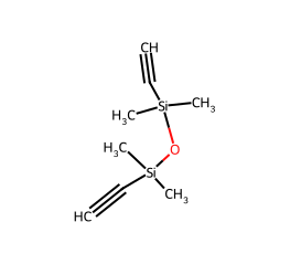 C#C[Si](C)(C)O[Si](C)(C)C#C